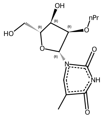 CCCO[C@@H]1[C@H](O)[C@@H](CO)O[C@H]1n1cc(C)c(=O)[nH]c1=O